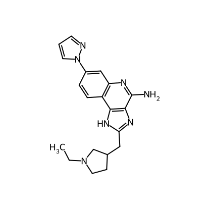 CCN1CCC(Cc2nc3c(N)nc4cc(-n5cccn5)ccc4c3[nH]2)C1